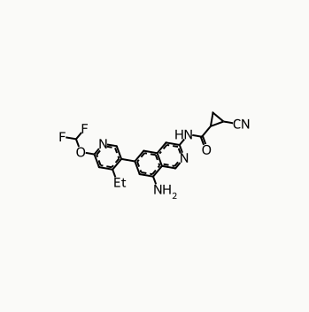 CCc1cc(OC(F)F)ncc1-c1cc(N)c2cnc(NC(=O)C3CC3C#N)cc2c1